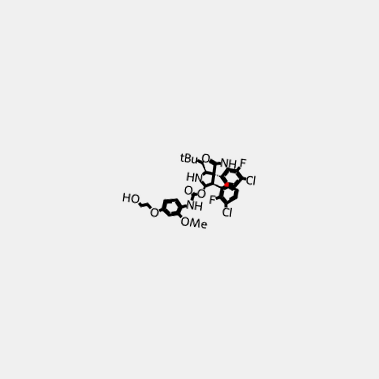 COc1cc(OCCO)ccc1NC(=O)O[C@H]1N[C@@H](CC(C)(C)C)[C@@]2(C(=O)Nc3c2ccc(Cl)c3F)[C@H]1c1cccc(Cl)c1F